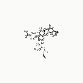 C#CCC(C)C[C@@H](OC)[C@@H](CC)Oc1nc(N2CCN(C(=O)C=C)CC2)c2cc(Cl)nc(Oc3c(Cl)c(F)cc4[nH]ncc34)c2n1